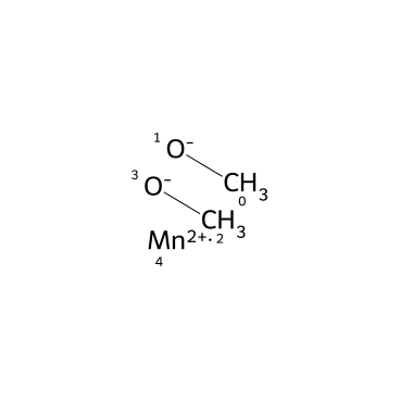 C[O-].C[O-].[Mn+2]